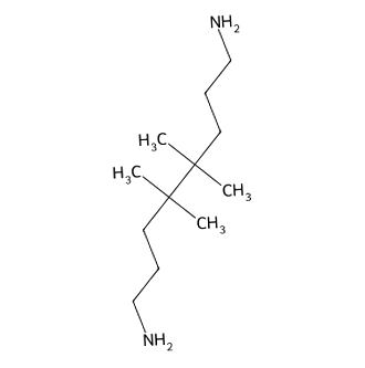 CC(C)(CCCN)C(C)(C)CCCN